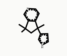 CC1(C)CC(C)(c2cc[nH]c2)c2ccncc21